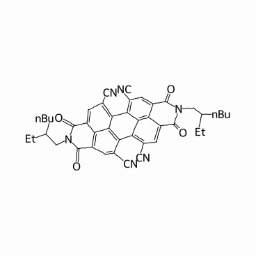 CCCCC(CC)CN1C(=O)c2cc(C#N)c3c4c(C#N)cc5c6c(cc(C#N)c(c7c(C#N)cc(c2c37)C1=O)c64)C(=O)N(CC(CC)CCCC)C5=O